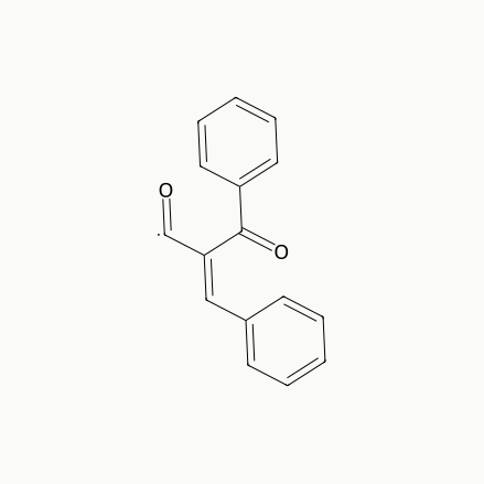 O=[C]C(=Cc1ccccc1)C(=O)c1ccccc1